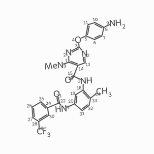 CNc1nc(Oc2ccc(N)cc2)ncc1C(=O)Nc1cc(NC(=O)c2cccc(C(F)(F)F)c2)ccc1C